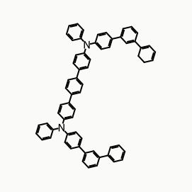 C1=CCCC(c2cccc(-c3ccc(N(c4ccccc4)c4ccc(-c5ccc(-c6ccc(N(c7ccccc7)c7ccc(-c8cccc(-c9ccccc9)c8)cc7)cc6)cc5)cc4)cc3)c2)=C1